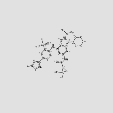 Cn1cnc(-c2ccc(Nc3cc(NC(=O)C4CC4(F)F)nc4c3nc(C(F)F)n4C3CCCCO3)c(S(C)(=O)=O)c2)c1